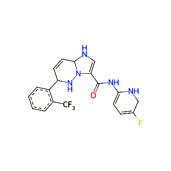 O=C(NC1=CC=C(F)CN1)C1=CNC2C=CC(c3ccccc3C(F)(F)F)NN12